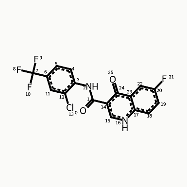 O=C(Nc1ccc(C(F)(F)F)cc1Cl)c1c[nH]c2ccc(F)cc2c1=O